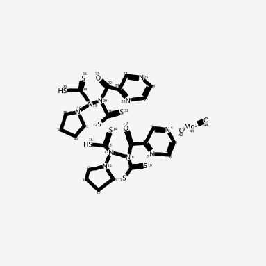 O=C(c1cnccn1)N(C(=S)[S-])N(C(=S)S)N1CCCC1.O=C(c1cnccn1)N(C(=S)[S-])N(C(=S)S)N1CCCC1.[O]=[Mo+2]=[O]